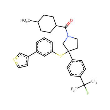 O=C(O)C1CCC(C(=O)N2CCC(Sc3cccc(-c4ccsc4)c3)(c3ccc(C(F)(C(F)(F)F)C(F)(F)F)cc3)C2)CC1